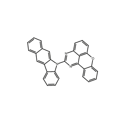 c1ccc2c(c1)Oc1cccc3nc(-n4c5ccccc5c5cc6ccccc6cc54)nc-2c13